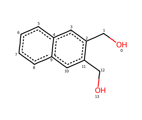 OCc1[c]c2ccccc2cc1CO